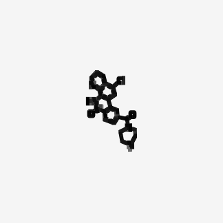 CN1CCN(C(=O)c2ccc3c(c2)-c2cc(Cl)c4cccnc4c2N[S+]3[O-])CC1